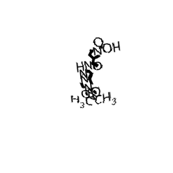 CC(C)S(=O)(=O)N1CCn2nc(NC(=O)C3CCN(C(=O)O)C3)cc2C1